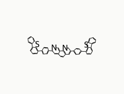 c1ccc2c(c1)sc1c(-c3ccc(-c4cnc5c(ccc6cc(-c7ccc(-c8cccc9c8sc8ccccc89)cc7)ncc65)c4)cc3)cccc12